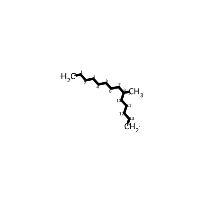 [CH2]CCCCCCCC(C)CCCC[CH2]